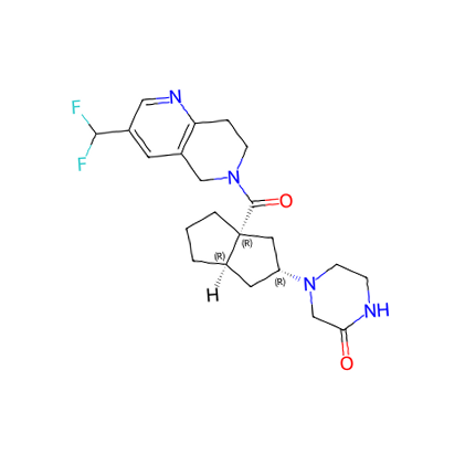 O=C1CN([C@@H]2C[C@H]3CCC[C@@]3(C(=O)N3CCc4ncc(C(F)F)cc4C3)C2)CCN1